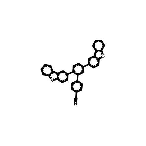 N#Cc1ccc(-c2cc(-c3ccc4sc5ccccc5c4c3)ccc2-c2ccc3sc4ccccc4c3c2)cc1